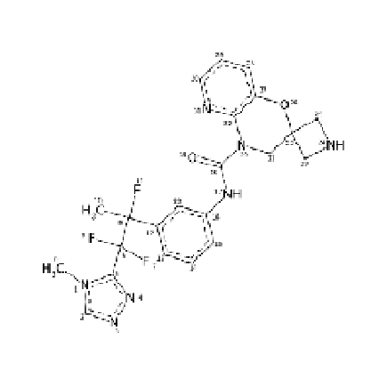 Cn1cnnc1C(F)(F)C(C)(F)c1cccc(NC(=O)N2CC3(CNC3)Oc3cccnc32)c1